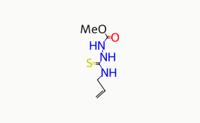 C=CCNC(=S)NNC(=O)OC